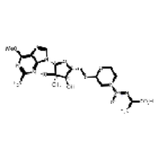 COc1nc(N)nc2c1ncn2[C@@H]1O[C@H](COC2CN(/[P+]([O-])=N/C(C)C(=O)O)CCO2)[C@@H](O)[C@@]1(C)O